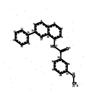 O=C(Nc1cccc2ccc(-c3ccccc3)nc12)c1cccc(OC(F)(F)F)c1